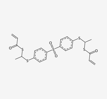 C=CC(=O)SC(C)Sc1ccc(S(=O)(=O)c2ccc(SC(C)SC(=O)C=C)cc2)cc1